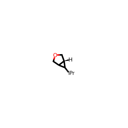 CC(C)C1C2COC[C@@H]21